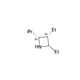 CCC1N[C@H](C(C)C)[C@@H]1CC